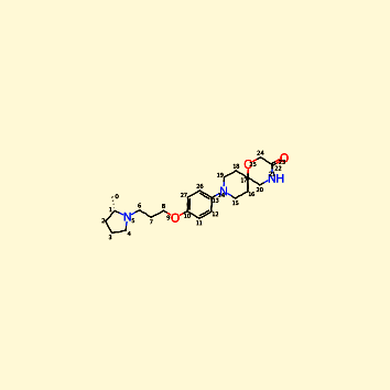 C[C@H]1CCCN1CCCOc1ccc(N2CCC3(CC2)CNC(=O)CO3)cc1